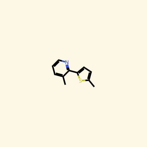 Cc1ccc(-c2ncccc2C)s1